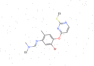 CCSc1nccc(Oc2cc(C)c(N=CN(C)CC)cc2Br)n1